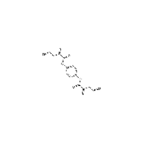 C=C(CC=O)C(=O)Oc1ccc(OC(=O)C(=C)CC=O)cc1